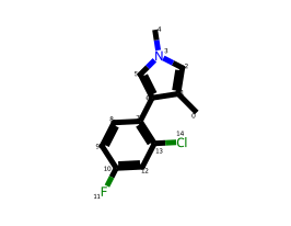 Cc1cn(C)cc1-c1ccc(F)cc1Cl